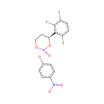 O=[N+]([O-])c1ccc(O[P@]2(=O)OCC[C@@H](c3c(F)ccc(F)c3F)O2)cc1